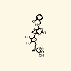 O=P(O)(O)CP(=O)(O)CCC1OC(n2cnc3c(NCc4ccccc4Cl)nc(Cl)nc32)C(O)C1O